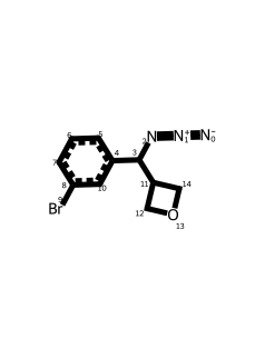 [N-]=[N+]=NC(c1cccc(Br)c1)C1COC1